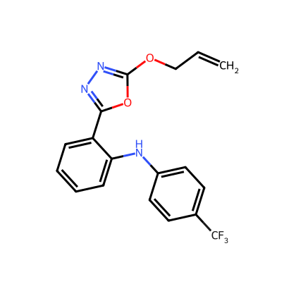 C=CCOc1nnc(-c2ccccc2Nc2ccc(C(F)(F)F)cc2)o1